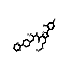 CSCCc1nc(-c2ccc(F)cc2F)oc1C(=O)NC(C)CN1CCN(c2ncccn2)CC1